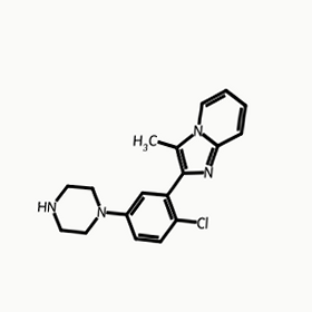 Cc1c(-c2cc(N3CCNCC3)ccc2Cl)nc2ccccn12